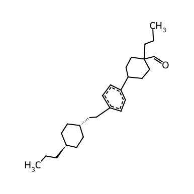 CCCC1(C=O)CCC(c2ccc(CC[C@H]3CC[C@H](CCC)CC3)cc2)CC1